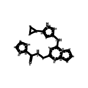 O=C(NCc1nc(Nc2cc(C3CC3)[nH]n2)n2cccc2n1)c1nccs1